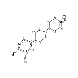 Fc1ccc(C2CCC(C3CC[SiH](Cl)CC3)CC2)cc1F